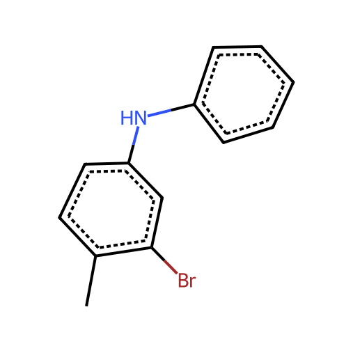 Cc1ccc(Nc2ccccc2)cc1Br